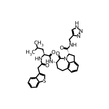 CC(C)C[C@H](NC(=O)Cc1csc2ccccc12)C(=O)N[C@H]1CCc2cccc3c2N(C1=O)[C@H](C(=O)NCc1c[nH]nn1)C3